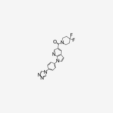 O=C(c1cnc2c(ccn2-c2ccc(-n3cnnc3)cc2)c1)N1CCC(F)(F)CC1